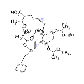 CCCCOC(C)O[C@H](/C=C/[C@@H]1[C@@H](C/C=C\CCC(C(=O)O)C(C)OCCCC)[C@@H](OC(C)OCCCC)C[C@H]1OC(C)OCCCC)CCc1ccccc1